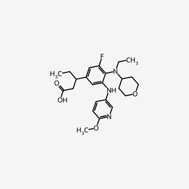 CCC(CC(=O)O)c1cc(F)c(N(CC)C2CCOCC2)c(Nc2ccc(OC)nc2)c1